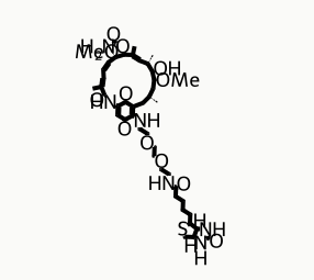 CO[C@H]1/C=C\C=C(/C)C(=O)NC2=CC(=O)C(NCCOCCOCCNC(=O)CCCCC3SC[C@@H]4NC(=O)N[C@H]34)=C(C[C@@H](C)C[C@H](OC)[C@H](O)[C@@H](C)/C=C(\C)[C@@H]1OC(N)=O)C2=O